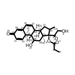 CCC(=O)O[C@]1(C(=O)CO)C(C)C[C@H]2[C@@H]3C=CC4=CC(=O)C=C[C@]4(C)[C@H]3C(O)C[C@@]21C